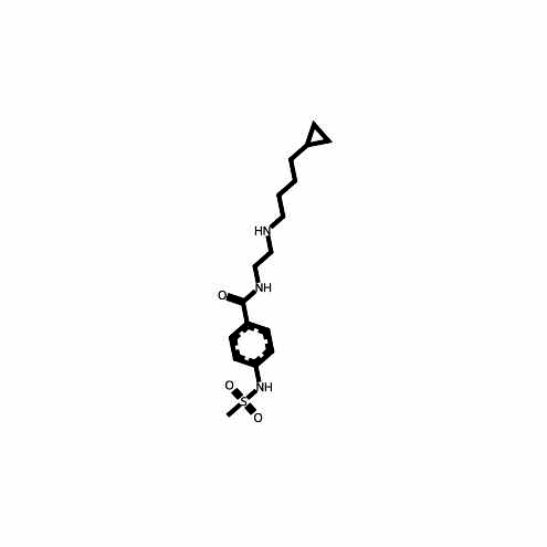 CS(=O)(=O)Nc1ccc(C(=O)NCCNCCCCC2CC2)cc1